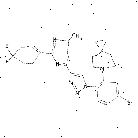 Cc1cc(-c2cn(-c3ccc(Br)cc3N3CCC4(CC3)CC4)nn2)nc(C2=CCC(F)(F)CC2)n1